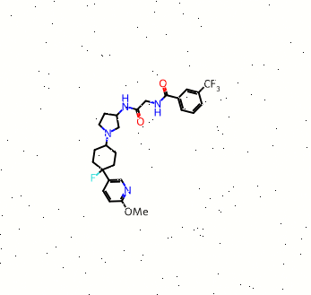 COc1ccc(C2(F)CCC(N3CCC(NC(=O)CNC(=O)c4cccc(C(F)(F)F)c4)C3)CC2)cn1